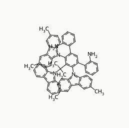 Cc1ccc2c(c1)c1cc(C)ccc1n2-c1c(-c2ccccc2N)cc(-c2ccccc2N)c(-n2c3ccc(C)cc3c3cc(C)ccc32)c1C(C)(C)n1c2ccccc2c2ccccc21